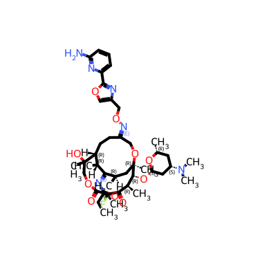 CCC(=O)/N=C1\[C@H](C)C[C@@]2(C)OC/C(=N/OCc3coc(-c4cccc(N)n4)n3)CC[C@H]([C@H]1C)C(C)(O)COC(=O)[C@@](C)(F)C(=O)[C@H](C)[C@H]2O[C@H]1C[C@@H](N(C)C)C[C@@H](C)O1